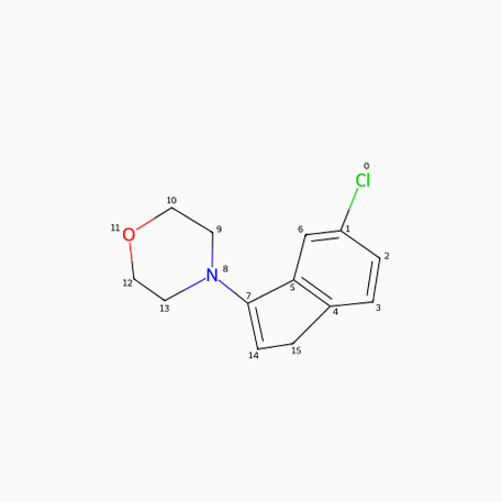 Clc1ccc2c(c1)C(N1CCOCC1)=CC2